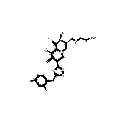 COCCOC[C@H]1Cn2cc(-c3nnc(Cc4ccc(F)cc4F)s3)c(=O)c(O)c2C(=O)N1C(C)C